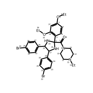 CCOc1ccc(C2(C(=O)N3CCN(CC)CC3)NC(c3ccc(Br)cc3)C(c3ccc(Br)cc3)N2)c(OCC)c1